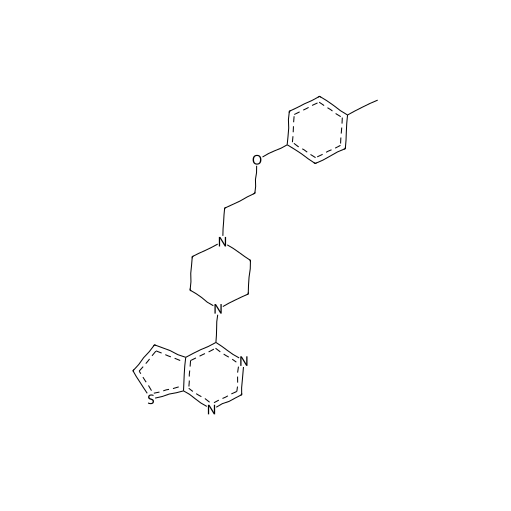 Cc1ccc(OCCN2CCN(c3ncnc4sccc34)CC2)cc1